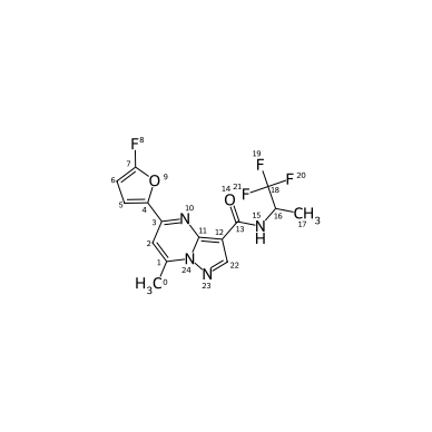 Cc1cc(-c2ccc(F)o2)nc2c(C(=O)NC(C)C(F)(F)F)cnn12